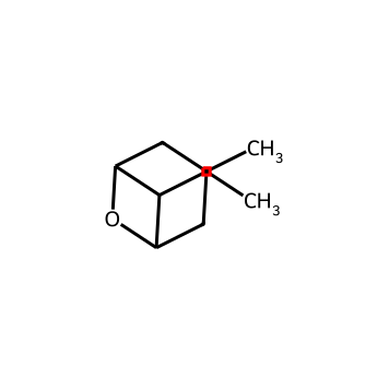 CCC1C2CC(C)CC1O2